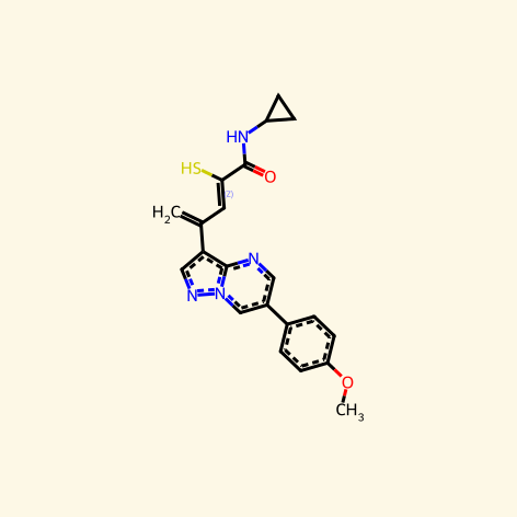 C=C(/C=C(\S)C(=O)NC1CC1)c1cnn2cc(-c3ccc(OC)cc3)cnc12